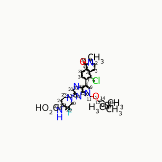 Cn1ccc2c(Cl)c(-c3cn(COCC[Si](C)(C)C)c4nc(N5CC[C@H](NC(=O)O)[C@H](F)C5)cnc34)ccc2c1=O